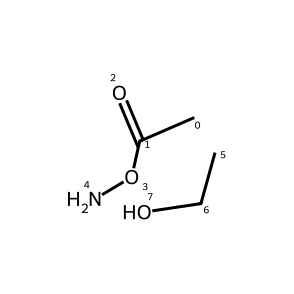 CC(=O)ON.CCO